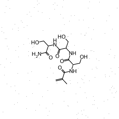 C=C(C)C(=O)NC(CO)C(=O)NC(CO)C(=O)NC(CO)C(N)=O